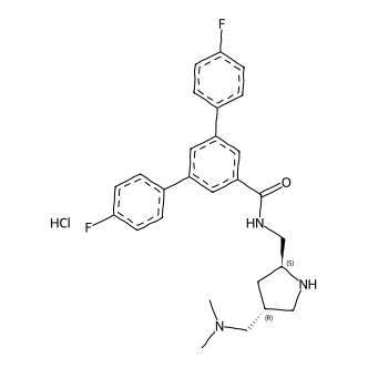 CN(C)C[C@H]1CN[C@H](CNC(=O)c2cc(-c3ccc(F)cc3)cc(-c3ccc(F)cc3)c2)C1.Cl